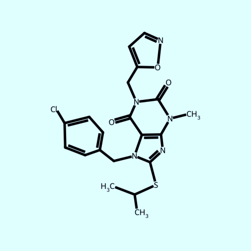 CC(C)Sc1nc2c(c(=O)n(Cc3ccno3)c(=O)n2C)n1Cc1ccc(Cl)cc1